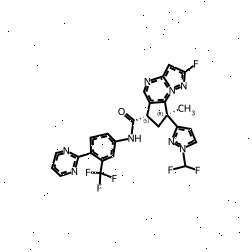 C[C@]1(c2ccn(C(F)F)n2)C[C@H](C(=O)Nc2ccc(-c3ncccn3)c(C(F)(F)F)c2)c2cnc3cc(F)nn3c21